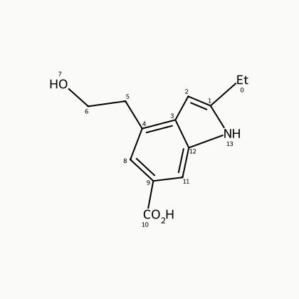 CCc1cc2c(CCO)cc(C(=O)O)cc2[nH]1